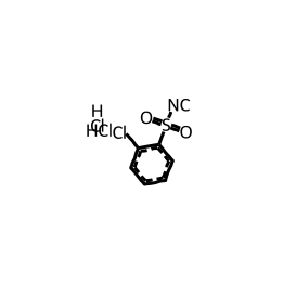 Cl.Cl.[C-]#[N+]S(=O)(=O)c1ccccc1Cl